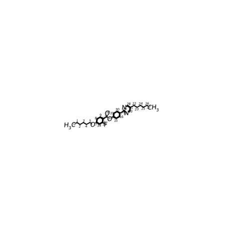 CCCCCCOc1ccc(C(=O)Oc2ccc(-c3ncc(CCCCCC)cn3)cc2)c(F)c1